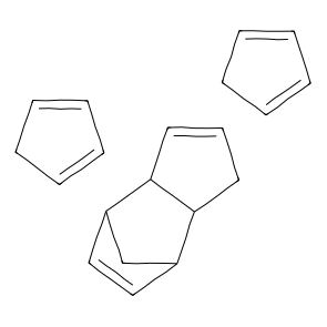 C1=CC2C3C=CC(C3)C2C1.C1=CCC=C1.C1=CCC=C1